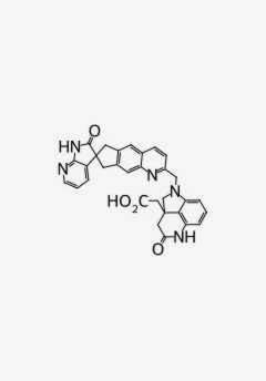 O=C(O)CC12CC(=O)Nc3cccc(c31)N(Cc1ccc3cc4c(cc3n1)CC1(C4)C(=O)Nc3ncccc31)C2